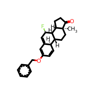 C[C@]12CC[C@H]3[C@@H]([C@H](F)C=C4C=C(OCc5ccccc5)C=C[C@@H]43)[C@@H]1CCC2=O